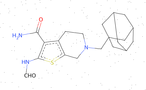 NC(=O)c1c(NC=O)sc2c1CCN(CC13CC4CC(CC(C4)C1)C3)C2